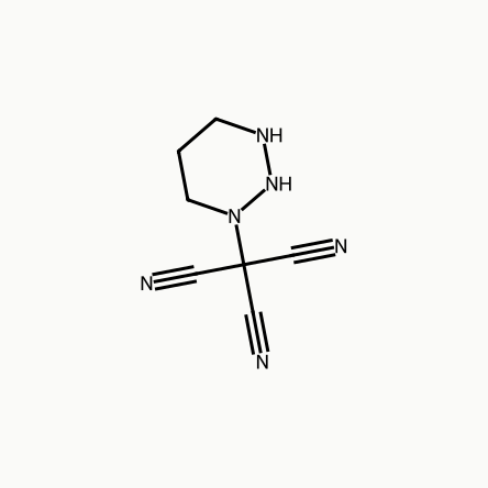 N#CC(C#N)(C#N)N1CCCNN1